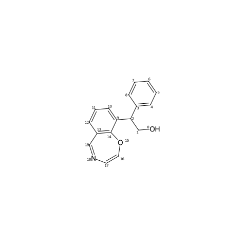 OCC(c1ccccc1)c1cccc2c1OC=CN=C2